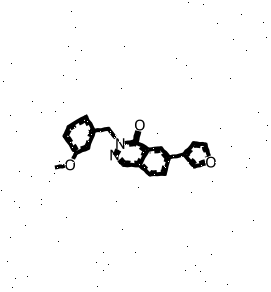 COc1cccc(Cn2ncc3ccc(-c4ccoc4)cc3c2=O)c1